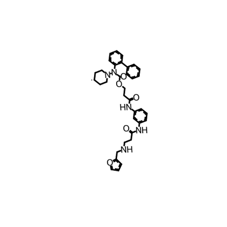 O=C(CCNCc1ccco1)Nc1cccc(NC(=O)CCOC(=O)N(c2ccccc2-c2ccccc2)N2CC[CH]CC2)c1